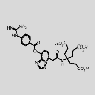 N=C(N)Nc1ccc(C(=O)Oc2ccc(CC(=O)NC(CCC(=O)O)(CCC(=O)O)CCC(=O)O)n3ncnc23)cc1